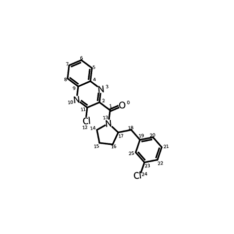 O=C(c1nc2ccccc2nc1Cl)N1CCCC1Cc1cccc(Cl)c1